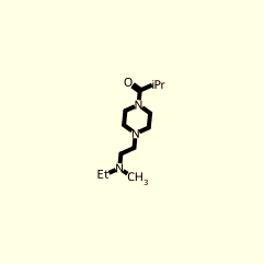 CCN(C)CCN1CCN(C(=O)C(C)C)CC1